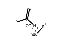 C=C(C)C(=O)O.CCC[CH2][K]